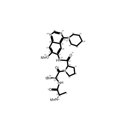 CN[C@@H](C)C(=O)N[C@H](C(=O)N1CCCC1C(=O)Nc1cc2c(N3CCCCC3)ncnc2cc1OC)C(C)(C)C